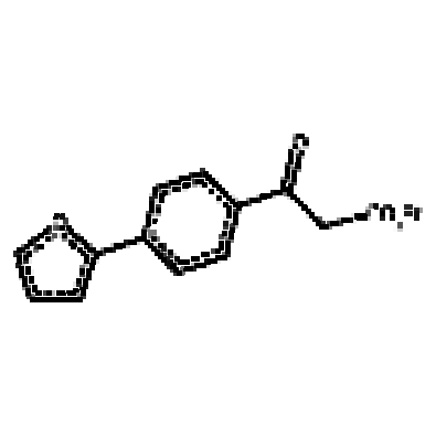 CCOC(=O)CC(=O)c1ccc(-c2ccco2)cc1